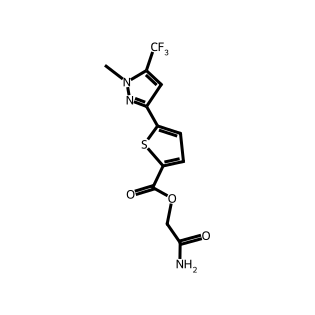 Cn1nc(-c2ccc(C(=O)OCC(N)=O)s2)cc1C(F)(F)F